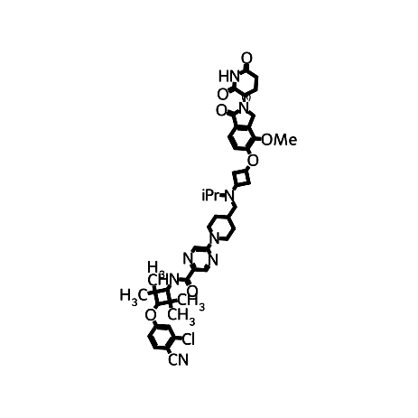 COc1c(OC2CC(N(CC3CCN(c4cnc(C(=O)NC5C(C)(C)C(Oc6ccc(C#N)c(Cl)c6)C5(C)C)cn4)CC3)C(C)C)C2)ccc2c1CN([C@@H]1CCC(=O)NC1=O)C2=O